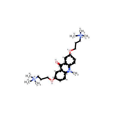 Cn1c2ccc(OCCC[N+](C)(C)C)cc2c(=O)c2cc(OCCC[N+](C)(C)C)ccc21